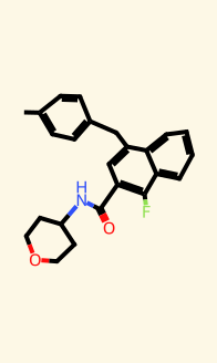 Cc1ccc(Cc2cc(C(=O)NC3CCOCC3)c(F)c3ccccc23)cc1